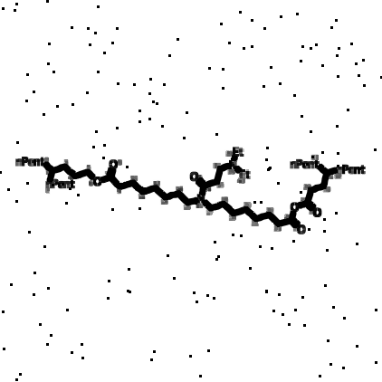 CCCCCC(CCCCC)CCCOC(=O)CCCCCCCN(CCCCCCCC(=O)OC(=O)CCC(CCCCC)CCCCC)C(=O)CCN(CC)CC